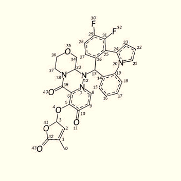 CC1=CC(Oc2c3n(ccc2=O)N(C2c4ccccc4-n4cccc4-c4c2ccc(F)c4F)C2COCCN2C3=O)OC1=O